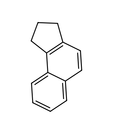 c1ccc2c3c(ccc2c1)CCC3